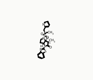 C[C@@H]1C(=O)N(c2nc3ccccc3s2)[C@H]2CCN(S(=O)(=O)N(C)Cc3ccccn3)[C@H]12